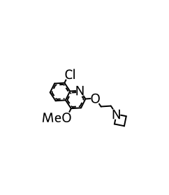 COc1cc(OCCN2CCC2)nc2c(Cl)cccc12